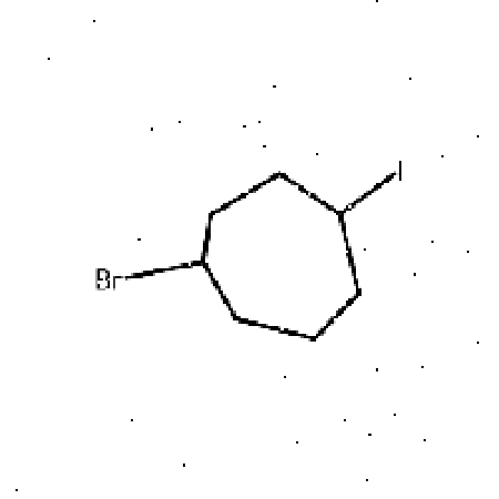 BrC1CCCC(I)CC1